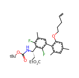 C=CCCCOc1cc(C)cc(C)c1-c1cc(C)c(F)c([C@H](CC(=O)OCC)NC(=O)OC(C)(C)C)c1F